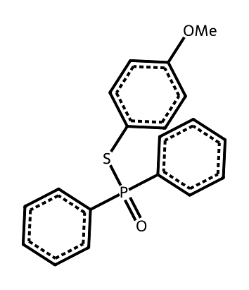 COc1ccc(SP(=O)(c2ccccc2)c2ccccc2)cc1